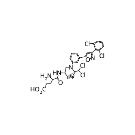 CC(C)C(CN(C(=O)C(Cl)Cl)c1cccc(-c2cc(-c3c(Cl)cccc3Cl)no2)c1)NC(=O)C(N)CCC(=O)O